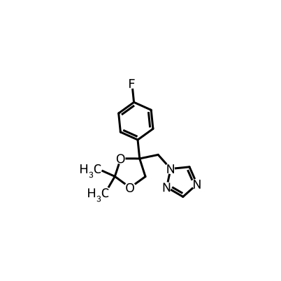 CC1(C)OCC(Cn2cncn2)(c2ccc(F)cc2)O1